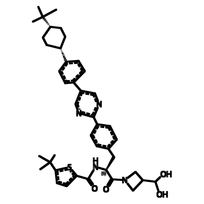 CC(C)(C)c1ccc(C(=O)N[C@@H](Cc2ccc(-c3ncc(-c4ccc([C@H]5CC[C@@H](C(C)(C)C)CC5)cc4)cn3)cc2)C(=O)N2CC(C(O)O)C2)s1